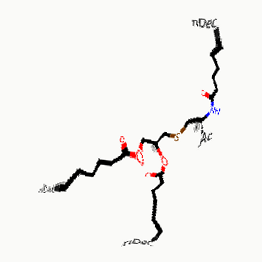 CCCCCCCCCCCCCCCC(=O)N[C@@H](CSC[C@H](COC(=O)CCCCCCCCCCCCCCC)OC(=O)CCCCCCCCCCCCCCC)C(C)=O